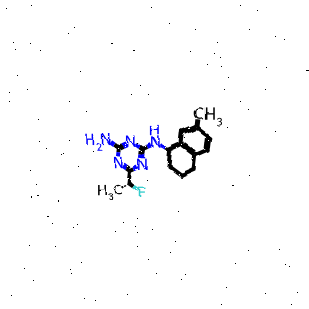 Cc1ccc2c(c1)[C@H](Nc1nc(N)nc([C@@H](C)F)n1)CCC2